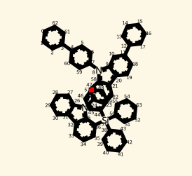 c1ccc(-c2ccc(-n3c4cc(-c5ccccc5)ccc4c4ccc(-n5c6ccccc6c6cccc([Si](c7ccccc7)(c7ccccc7)c7ccccc7)c65)cc43)cc2)cc1